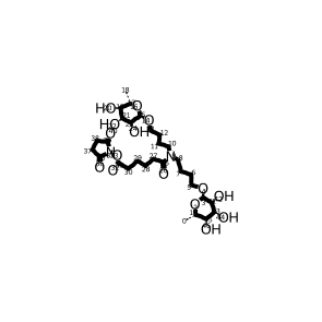 C[C@@H]1O[C@@H](OCCCCN(CCCCO[C@@H]2O[C@@H](C)[C@@H](O)[C@@H](O)[C@@H]2O)C(=O)CCCCC(=O)ON2C(=O)CCC2=O)[C@@H](O)[C@H](O)[C@@H]1O